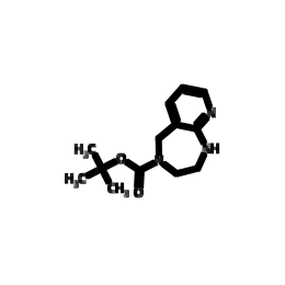 CC(C)(C)OC(=O)N1CCNc2ncccc2C1